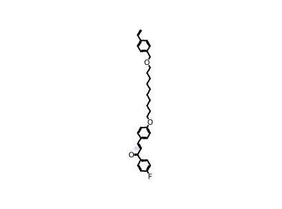 C=Cc1ccc(COCCCCCCCCCCOc2ccc(/C=C/C(=O)c3ccc(F)cc3)cc2)cc1